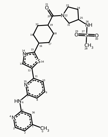 Cc1ccnc(Nc2cccc(-c3cnc(C4CCC(C(=O)N5CCC(NS(C)(=O)=O)C5)CC4)s3)n2)c1